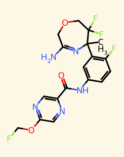 CC1(c2cc(NC(=O)c3cnc(OCF)cn3)ccc2F)N=C(N)COCC1(F)F